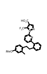 COc1ccc(CCc2ccccc2-c2cccc(-n3ncc(C(=O)O)c3C(F)(F)F)n2)c(C)c1